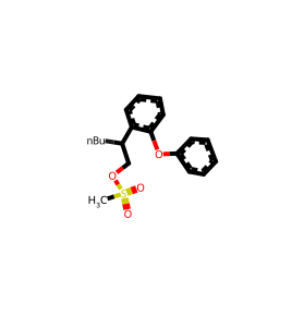 CCCCC(COS(C)(=O)=O)c1ccccc1Oc1ccccc1